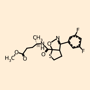 COC(=O)CC[C@H](C)NC(=O)C12ON=C(c3cc(F)cc(F)c3)C1CCS2